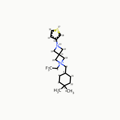 CC1(C)CCC(C[N+]2(CC(F)(F)F)CC3(CN(c4ccsc4)C3)C2)CC1